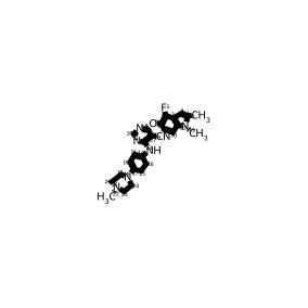 Cc1cc2c(F)c(Oc3ncnc(NC4=CC=C(N5CCN(C)CC5)CC4)c3C#N)ccc2n1C